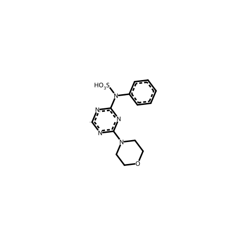 O=S(=O)(O)N(c1ccccc1)c1n[c]nc(N2CCOCC2)n1